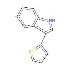 [c]1ccc2[nH]cc(-c3cccs3)c2c1